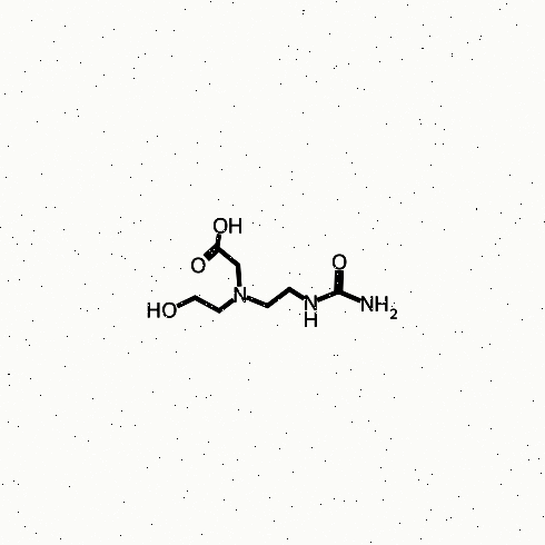 NC(=O)NCCN(CCO)CC(=O)O